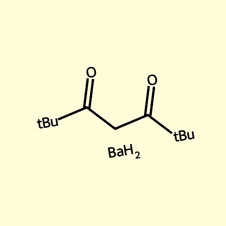 CC(C)(C)C(=O)CC(=O)C(C)(C)C.[BaH2]